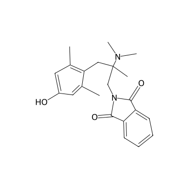 Cc1cc(O)cc(C)c1CC(C)(CN1C(=O)c2ccccc2C1=O)N(C)C